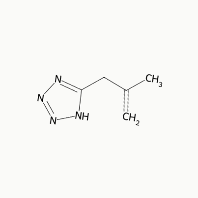 C=C(C)Cc1nnn[nH]1